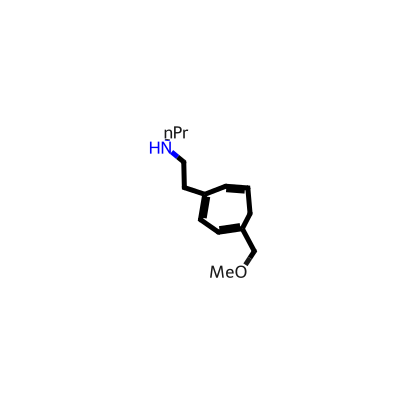 CCCNCCC1=CC=C(COC)CC=C1